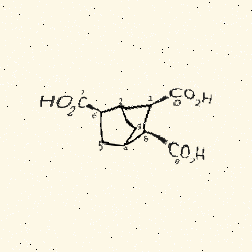 O=C(O)[C@@H]1C2CC(C[C@H]2C(=O)O)[C@@H]1C(=O)O